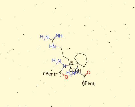 CCCCCC(=O)N(N)C1([C@](CCCNC(=N)N)(C(=O)O)N(N)C(=O)CCCCC)CCCCC1